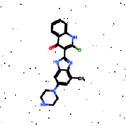 Cc1cc(N2CCNCC2)cc2[nH]c(-c3c(Cl)[nH]c4ccccc4c3=O)nc12